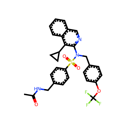 CC(=O)NCc1ccc(S(=O)(=O)N(Cc2ccc(OC(F)(F)F)cc2)c2ncc3ccccc3c2C2CC2)cc1